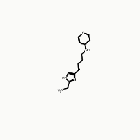 CCc1nc(CCCCNC2CCOCC2)c[nH]1